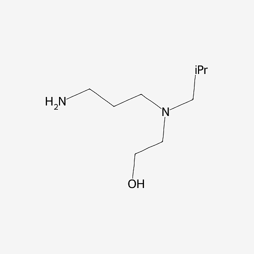 CC(C)CN(CCO)CCCN